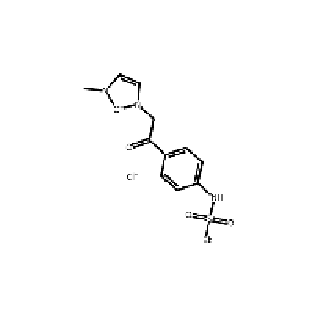 CCS(=O)(=O)Nc1ccc(C(=O)CN2[C+]N(C)C=C2)cc1.[Cl-]